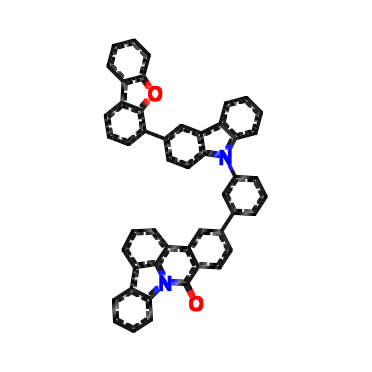 O=c1c2ccc(-c3cccc(-n4c5ccccc5c5cc(-c6cccc7c6oc6ccccc67)ccc54)c3)cc2c2cccc3c4ccccc4n1c23